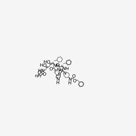 CCCS(=O)(=O)NC[C@@H](O)C[C@H](O)[C@H](CC1CCCCC1)NC(=O)[C@H](Cc1c[nH]cn1)NC(=O)[C@H](Cc1ccccc1)NC(=O)N1CCC(NC(=O)OCc2ccccc2)CC1